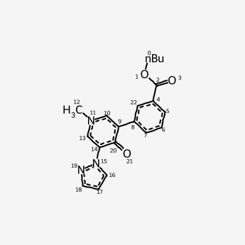 CCCCOC(=O)c1cccc(-c2cn(C)cc(-n3cccn3)c2=O)c1